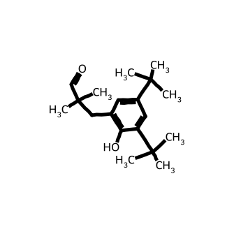 CC(C)(C=O)Cc1cc(C(C)(C)C)cc(C(C)(C)C)c1O